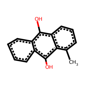 Cc1cccc2c(O)c3ccccc3c(O)c12